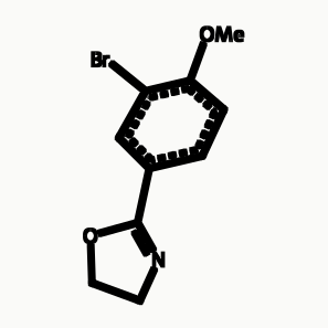 COc1ccc(C2=NCCO2)cc1Br